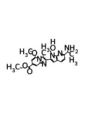 CCOC(=O)c1cc(OC)n2c(C)c(-c3cc4ccc(C(C)N)nc4n3CO)nc2c1